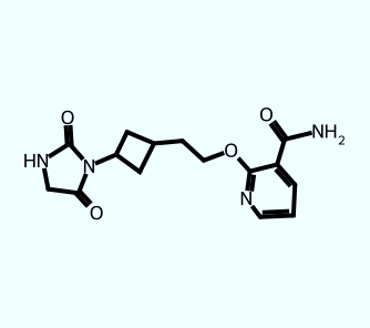 NC(=O)c1cccnc1OCCC1CC(N2C(=O)CNC2=O)C1